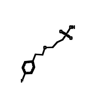 O=S(=O)(O)CCCOCCc1ccc(F)cc1